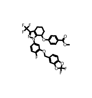 COC(=O)c1ccc(OC2CCCc3c(C(F)(F)F)nn(-c4ccc(F)c(OCc5ccc6c(c5)OC(F)(F)O6)c4)c32)cc1